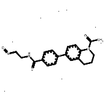 CC(=O)N1CCCc2cc(-c3ccc(C(=O)NCCN=O)cc3)ccc21